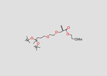 C=C(COCCOCCC[Si](C)(O[Si](C)(C)C)O[Si](C)(C)C)C(=O)OCCOC